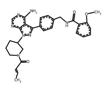 C/C=C/C(=O)N1CCCC(n2nc(-c3ccc(CNC(=O)c4ccccc4OC)cc3)c3c(N)ncnc32)C1